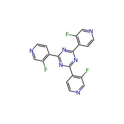 Fc1cnccc1-c1nc(-c2ccncc2F)nc(-c2ccncc2F)n1